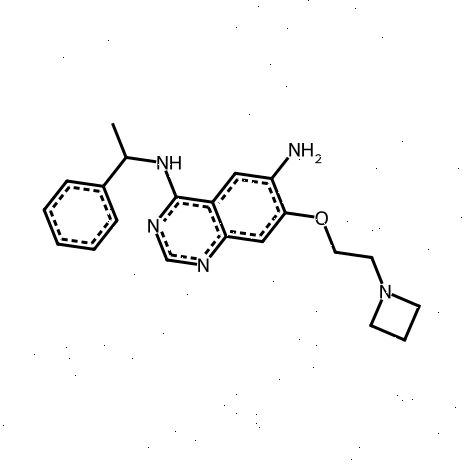 CC(Nc1ncnc2cc(OCCN3CCC3)c(N)cc12)c1ccccc1